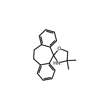 CC1(C)COC2(N1)c1ccccc1CCc1ccccc12